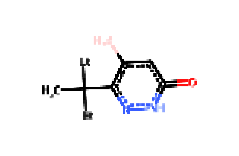 Bc1cc(=O)[nH]nc1C(C)(CC)CC